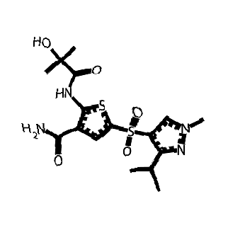 CC(C)c1nn(C)cc1S(=O)(=O)c1cc(C(N)=O)c(NC(=O)C(C)(C)O)s1